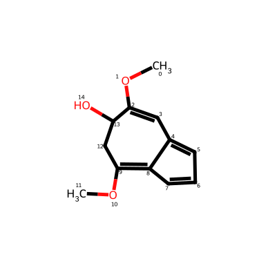 COC1=CC2=CC=CC2=C(OC)CC1O